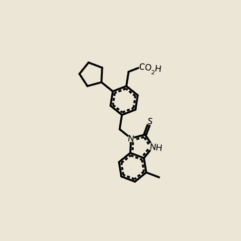 Cc1cccc2c1[nH]c(=S)n2Cc1ccc(CC(=O)O)c(C2CCCC2)c1